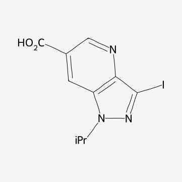 CC(C)n1nc(I)c2ncc(C(=O)O)cc21